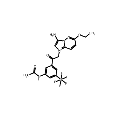 CCOc1ccc2n(n1)c(N)n[n+]2CC(=O)c1cc(NC(C)=O)cc(S(F)(F)(F)(F)F)c1